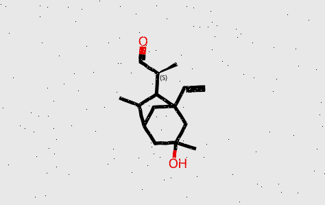 C=CC12CC(CC(C)(O)C1)C(C)C2[C@H](C)C=O